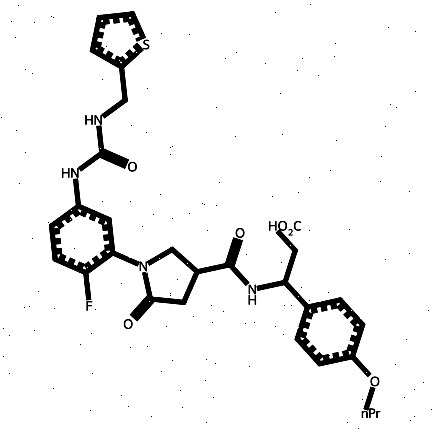 CCCOc1ccc(C(CC(=O)O)NC(=O)C2CC(=O)N(c3cc(NC(=O)NCc4cccs4)ccc3F)C2)cc1